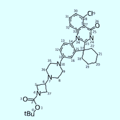 CC(C)(C)OC(=O)N1CC(N2CCN(c3ccc4c(c3)C3(CCCCC3)c3nc(=O)c5c(Cl)cccc5n3-4)CC2)C1